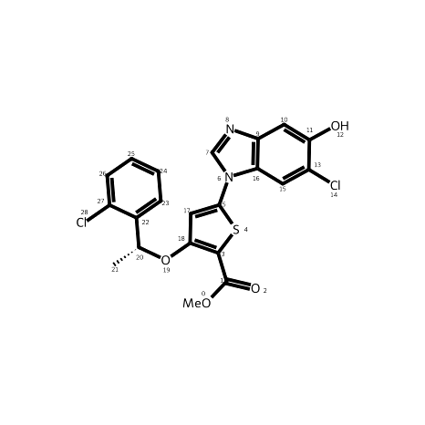 COC(=O)c1sc(-n2cnc3cc(O)c(Cl)cc32)cc1O[C@H](C)c1ccccc1Cl